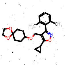 Cc1cccc(C)c1-c1noc(C2CC2)c1COC1CCC2(CC1)OCCO2